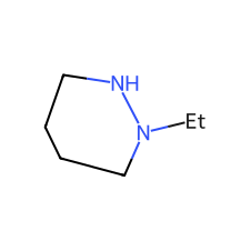 CCN1CCCCN1